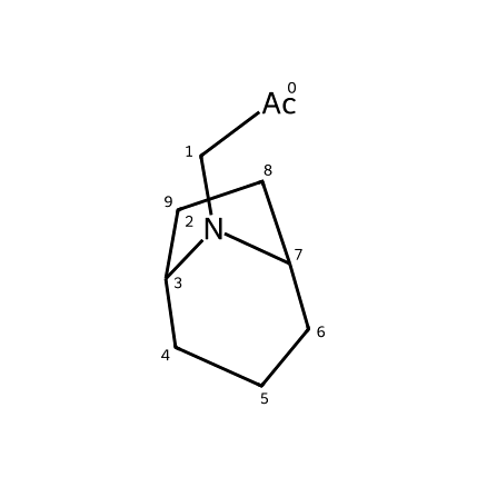 CC(=O)CN1C2CCCC1CC2